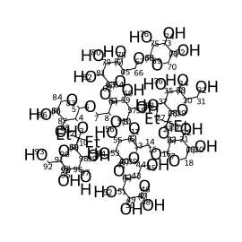 CCC(CC)(OC1C(OCC2O[C@@H](O[C@@H]3C(COC4OC[C@@H](O)C(O)[C@@H]4OC(CC)(CC)[C@@H]4OC(CO)[C@H](O)C(O)C4O)O[C@@H](O[C@@H]4C(CO)O[C@@H](O)C(O)C4O)C(O)C3O)C(O)C(O)[C@@H]2O[C@@H]2OC(CO[C@H]3OC[C@@H](O)C(O)C3O)[C@@H](O)C(O)C2O)OC[C@@H](O)C1O)[C@@H]1OC(CO)[C@H](O)C(O)C1O